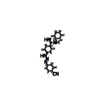 N#Cc1ccc(/N=N/Nc2ccc(C(=N)Nc3ccccc3)cc2)cc1